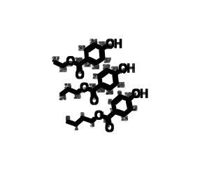 CCCCOC(=O)c1ccc(O)cc1.CCCOC(=O)c1ccc(O)cc1.CCOC(=O)c1ccc(O)cc1